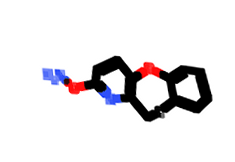 NOc1ccc2c(n1)CCc1ccccc1O2